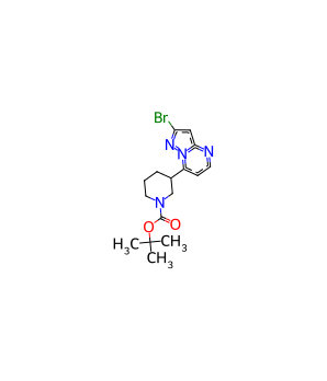 CC(C)(C)OC(=O)N1CCCC(c2ccnc3cc(Br)nn23)C1